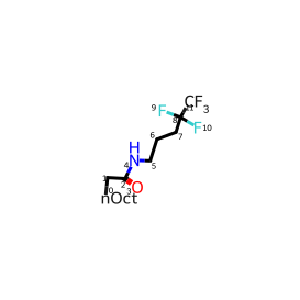 [CH2]CCCCCCCCC(=O)NCCCC(F)(F)C(F)(F)F